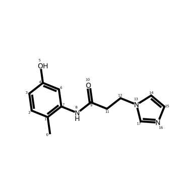 Cc1ccc(O)cc1NC(=O)CCn1ccnc1